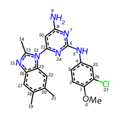 COc1ccc(Nc2nc(N)cc(-n3c(C)nc4cc(C)c(C)cc43)n2)cc1Cl